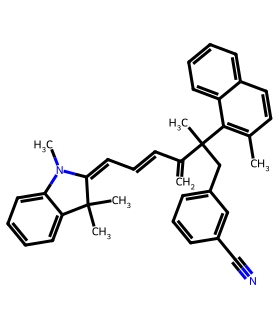 C=C(/C=C/C=C1/N(C)c2ccccc2C1(C)C)C(C)(Cc1cccc(C#N)c1)c1c(C)ccc2ccccc12